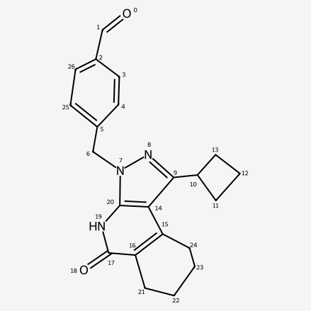 O=Cc1ccc(Cn2nc(C3CCC3)c3c4c(c(=O)[nH]c32)CCCC4)cc1